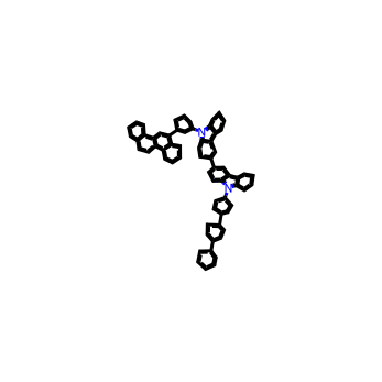 c1ccc(-c2ccc(-c3ccc(-n4c5ccccc5c5cc(-c6ccc7c(c6)c6ccccc6n7-c6cccc(-c7cc8c9ccccc9ccc8c8ccccc78)c6)ccc54)cc3)cc2)cc1